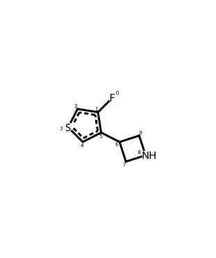 Fc1cscc1C1CNC1